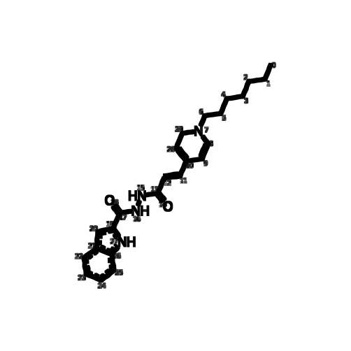 CCCCCCCN1C=CC(/C=C/C(=O)NNC(=O)c2cc3ccccc3[nH]2)=CC1